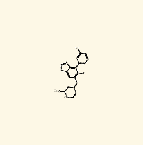 O=CC1CN(Cc2cc3scnc3c(-c3cccc(Cl)c3)c2F)CCN1